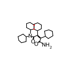 NC(=O)C(=C(C(=O)N(C1CCCCC1)C1CCCCC1)C1CCCCC1)C1CCCCC1